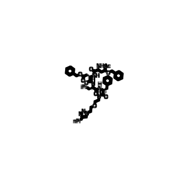 CCCc1cn(CCOCCNC(=O)[C@H](Cc2ccccc2)NC(=O)[C@@H](CC(C)C)NC(=O)[C@H](CC(=O)OCc2ccccc2)NC(=O)[C@@H](CC(=O)OCc2ccccc2)NC(C)=O)nn1